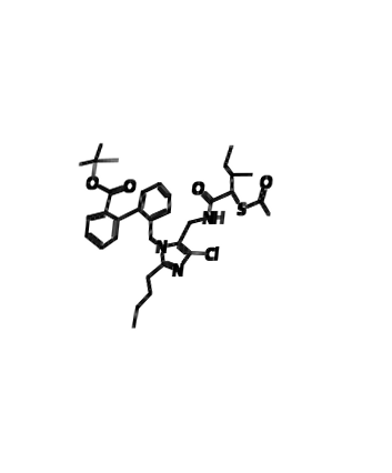 CCCCc1nc(Cl)c(CNC(=O)C(SC(C)=O)C(C)CC)n1Cc1ccccc1-c1ccccc1C(=O)OC(C)(C)C